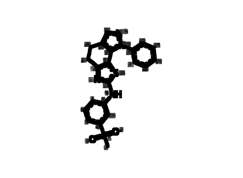 CS(=O)(=O)c1cccc(Nc2nc3c(s2)-c2c(cnn2-c2ccccc2)CC3)c1